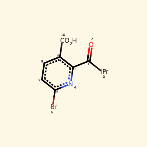 CC(C)C(=O)c1nc(Br)ccc1C(=O)O